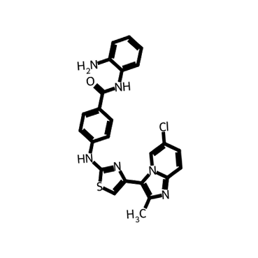 Cc1nc2ccc(Cl)cn2c1-c1csc(Nc2ccc(C(=O)Nc3ccccc3N)cc2)n1